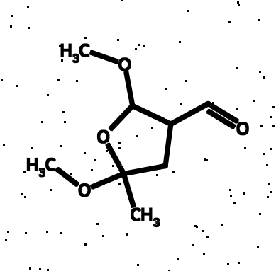 COC1OC(C)(OC)CC1C=O